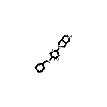 Cl.c1ccc(COc2cnc(N3CC4CNCC4C3)nc2)cc1